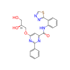 O=C(Nc1ccccc1-c1nncs1)c1cc(OC[C@@H](O)CO)nc(-c2ccccc2)n1